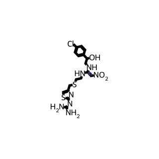 NC(N)=Nc1nc(CSCCN/C(=C/[N+](=O)[O-])NCC(O)c2ccc(Cl)cc2)cs1